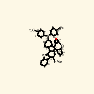 CNc1cc2c(c3oc4ccccc4c13)-c1ccc(N(c3ccc(C(C)(C)C)cc3)c3ccc(C(C)(C)C)cc3)cc1C21c2ccccc2Oc2ccccc21